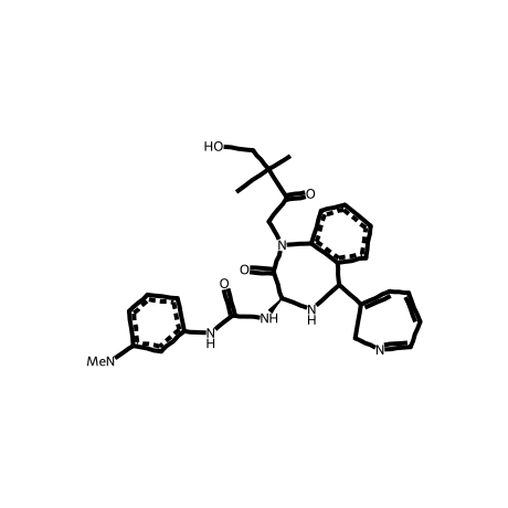 CNc1cccc(NC(=O)N[C@@H]2NC(C3=CC=CC=NC3)c3ccccc3N(CC(=O)C(C)(C)CO)C2=O)c1